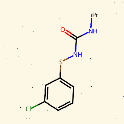 CC(C)NC(=O)NSc1cccc(Cl)c1